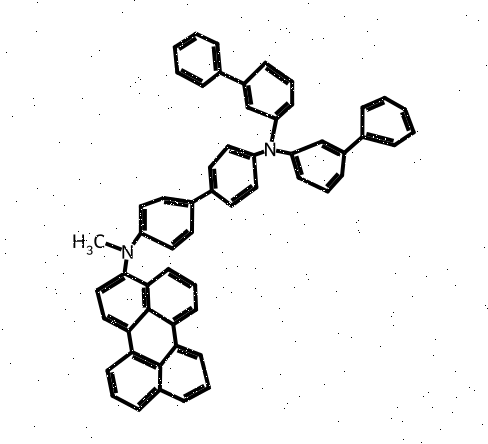 CN(c1ccc(-c2ccc(N(c3cccc(-c4ccccc4)c3)c3cccc(-c4ccccc4)c3)cc2)cc1)c1ccc2c3cccc4cccc(c5cccc1c52)c43